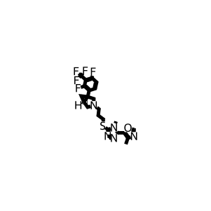 Cc1ncoc1-c1nnc(SCCCN2C[C@H]3CC3(c3ccc(F)c(C(F)(F)F)c3F)C2)n1C